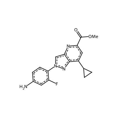 COC(=O)c1cc(C2CC2)c2nn(-c3ccc(N)cc3F)cc2n1